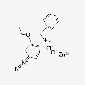 CCOC1=C(N(C)Cc2ccccc2)C=CC(=[N+]=[N-])C1.[Cl-].[Cl-].[Zn+2]